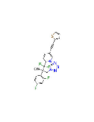 O=NC(Cn1cnnn1)(c1ccc(F)cc1F)C(F)(F)c1ccc(C#Cc2cccs2)cn1